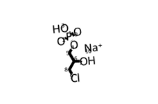 O=P([O-])(O)OCC(O)CCl.[Na+]